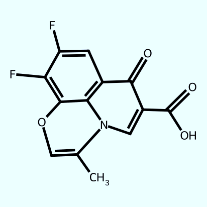 CC1=COc2c(F)c(F)cc3c(=O)c(C(=O)O)cn1c23